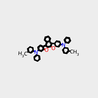 CC1=CCCC(N(C2=CCCC=C2)c2ccc3c(c2)oc2c4c(c5ccccc5c23)C2C=CC(N(c3ccccc3)C3C=CC=C(C)C3)=CC2O4)=C1